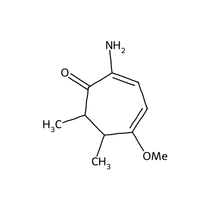 COC1=CC=C(N)C(=O)C(C)C1C